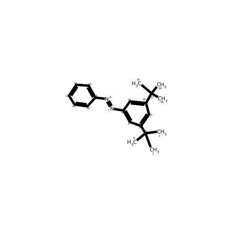 CC(C)(C)c1cc(/N=N/c2ccccc2)cc(C(C)(C)C)c1